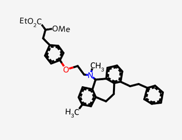 CCOC(=O)C(Cc1ccc(OCCN(C)C2c3ccc(C)cc3CCc3c(CCc4ccccc4)cccc32)cc1)OC